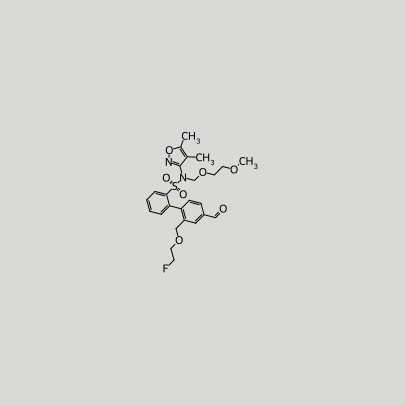 COCCOCN(c1noc(C)c1C)S(=O)(=O)c1ccccc1-c1ccc(C=O)cc1COCCF